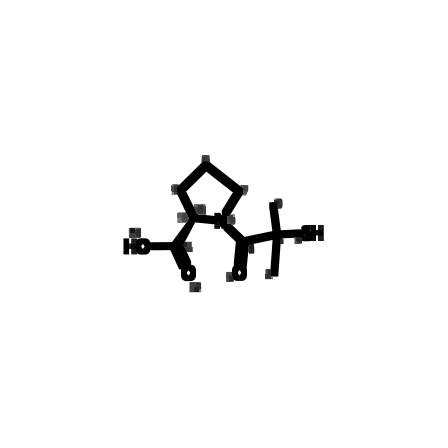 CC(C)(S)C(=O)N1CCC[C@@H]1C(=O)O